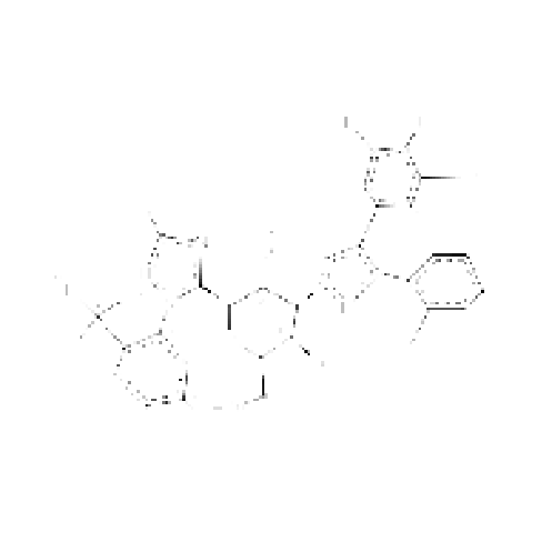 Cc1nc([C@@H]2O[C@H](CO)[C@H](O)[C@H](n3cc(-c4cc(F)c(F)c(F)c4)c(-c4ccccc4C)n3)[C@H]2O)n(-c2cc(Cl)ccc2C(F)(F)F)n1